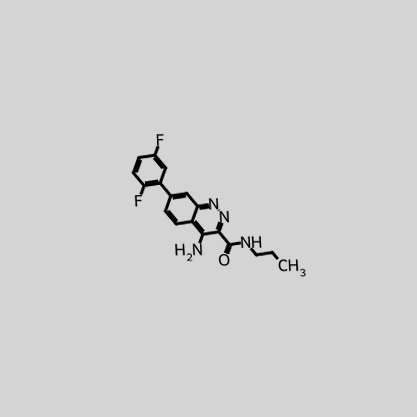 CCCNC(=O)c1nnc2cc(-c3cc(F)ccc3F)ccc2c1N